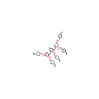 C=Cc1ccc(COC2CC=C(Cc3cc(C)cc(Cc4ccc(OCC5CCC(C=C)CC5)cc4OCC4C=CC(C=C)CC4)c3OCC3CCC(C=C)CC3)C(OCc3ccc(C=C)cc3)C2)cc1